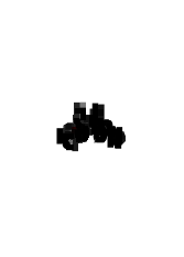 O=C(N[C@H]1CCc2c(C(=O)Nc3ccc(F)c(Cl)c3)ccc(F)c21)OCCn1cccn1